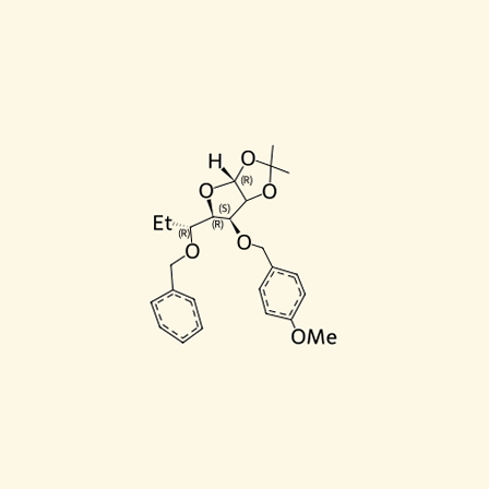 CC[C@@H](OCc1ccccc1)[C@H]1O[C@@H]2OC(C)(C)OC2[C@H]1OCc1ccc(OC)cc1